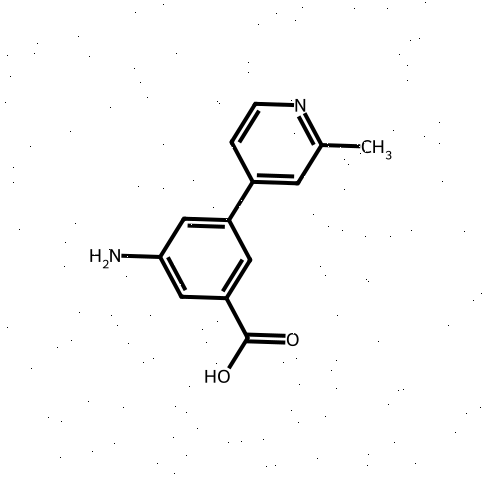 Cc1cc(-c2cc(N)cc(C(=O)O)c2)ccn1